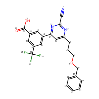 N#Cc1nc(CCCOCc2ccccc2)cc(-c2cc(C(=O)O)cc(C(F)(F)F)c2)n1